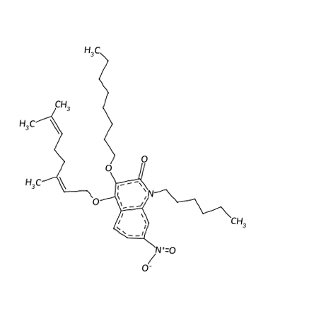 CCCCCCCCOc1c(OCC=C(C)CCC=C(C)C)c2ccc([N+](=O)[O-])cc2n(CCCCCC)c1=O